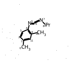 Cc1ccc(N=C=NC(C)C)c(C)c1